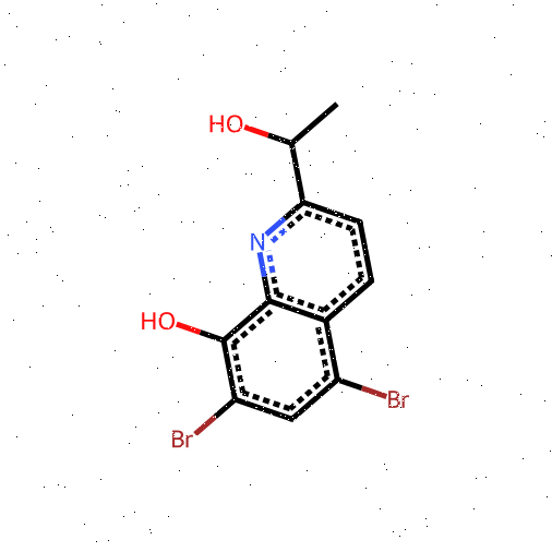 CC(O)c1ccc2c(Br)cc(Br)c(O)c2n1